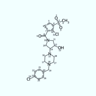 CS(=O)(=O)c1csc(C(=O)N2CC(O)C(N3CCN(Cc4ccc(Cl)cc4)CC3)C2)c1Cl